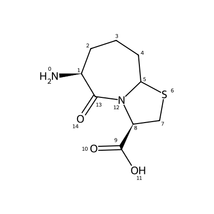 N[C@H]1CCCC2SC[C@@H](C(=O)O)N2C1=O